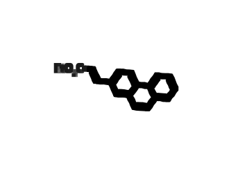 CCOC(=O)C=Cc1ccc2c(ccc3ccccc32)c1